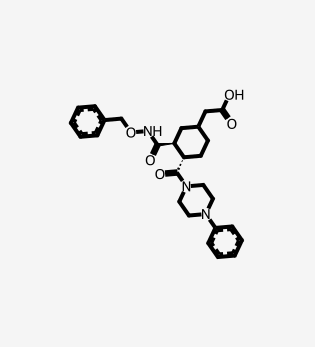 O=C(O)CC1CC[C@H](C(=O)N2CCN(c3ccccc3)CC2)[C@@H](C(=O)NOCc2ccccc2)C1